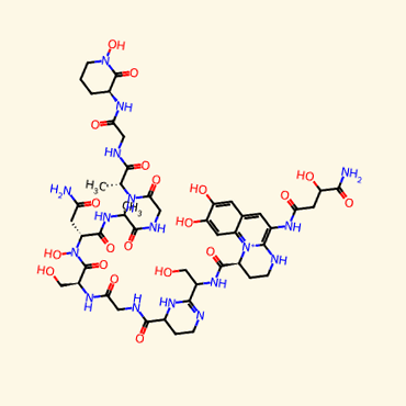 C[C@H](NC(=O)[C@@H](CC(N)=O)N(O)C(=O)[C@H](CO)NC(=O)CNC(=O)C1CCN=C(C(CO)NC(=O)[C@@H]2CCNc3c(NC(=O)CC(O)C(N)=O)cc4cc(O)c(O)cc4[n+]32)N1)C(=O)NCC(=O)N[C@H](C)C(=O)NCC(=O)N[C@H]1CCCN(O)C1=O